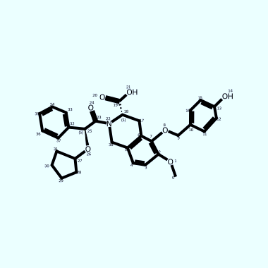 COc1ccc2c(c1OCc1ccc(O)cc1)C[C@@H](C(=O)O)N(C(=O)[C@@H](OC1CCCC1)c1ccccc1)C2